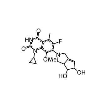 COc1c(N2CC3=CC(O)C(O)C3C2)c(F)c(C)c2c(=O)[nH]c(=O)n(C3CC3)c12